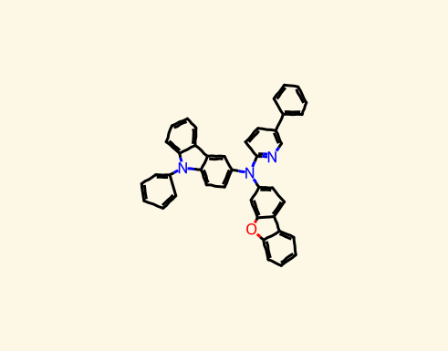 c1ccc(-c2ccc(N(c3ccc4c(c3)oc3ccccc34)c3ccc4c(c3)c3ccccc3n4-c3ccccc3)nc2)cc1